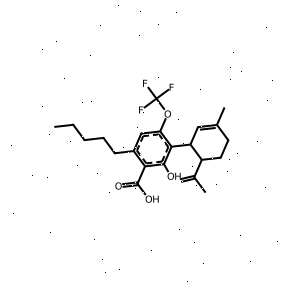 C=C(C)C1CCC(C)=CC1c1c(OC(F)(F)F)cc(CCCCC)c(C(=O)O)c1O